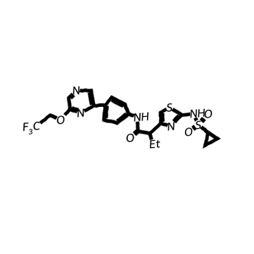 CCC(C(=O)Nc1ccc(-c2cncc(OCC(F)(F)F)n2)cc1)c1csc(NS(=O)(=O)C2CC2)n1